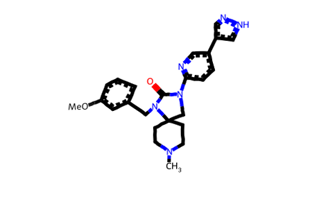 COc1cccc(CN2C(=O)N(c3ccc(-c4cn[nH]c4)cn3)CC23CCN(C)CC3)c1